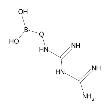 N=C(N)NC(=N)NOB(O)O